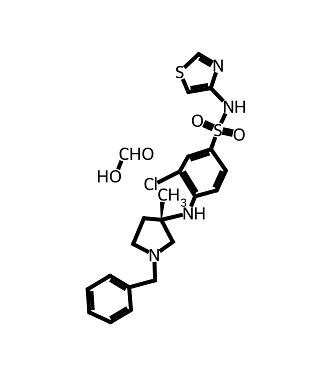 C[C@]1(Nc2ccc(S(=O)(=O)Nc3cscn3)cc2Cl)CCN(Cc2ccccc2)C1.O=CO